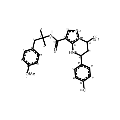 COc1ccc(CC(C)(C)NC(=O)c2cnn3c2NC(c2ccc(Cl)cc2)CC3C(F)(F)F)cc1